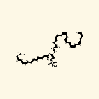 CC/C=C\C/C=C\C/C=C\C/C=C\C/C=C\C/C=C\CCC(=O)OC[C@H](COP(=O)(O)O)OC(=O)CCCCCCC/C=C\C/C=C\CCCCC